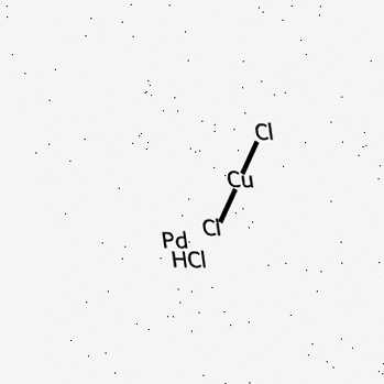 Cl.[Cl][Cu][Cl].[Pd]